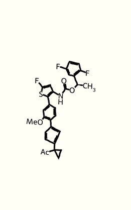 COc1cc(-c2sc(F)cc2NC(=O)O[C@H](C)c2cc(F)ccc2F)ccc1-c1ccc(C2(C(C)=O)CC2)cc1